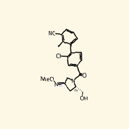 CO/N=C1/C[C@@H](CO)N(C(=O)c2ccc(-c3cccc(C#N)c3C)c(Cl)c2)C1